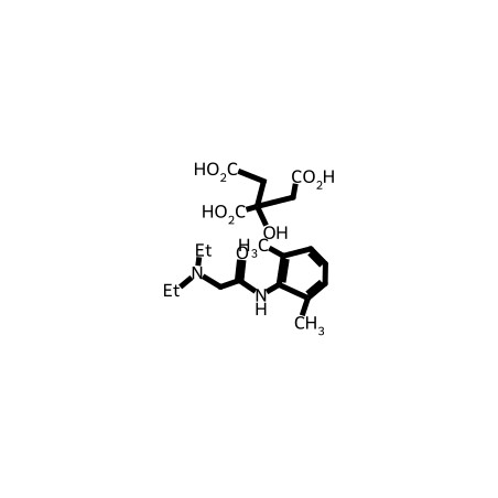 CCN(CC)CC(=O)Nc1c(C)cccc1C.O=C(O)CC(O)(CC(=O)O)C(=O)O